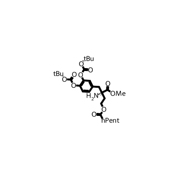 CCCCCC(=O)OCC[C@@](N)(Cc1ccc(OC(=O)OC(C)(C)C)c(OC(=O)OC(C)(C)C)c1)C(=O)OC